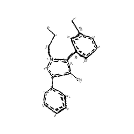 CCCn1nc(-c2ccccc2)c(O)c1-c1cccc(C)c1